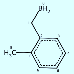 BCc1ccccc1C